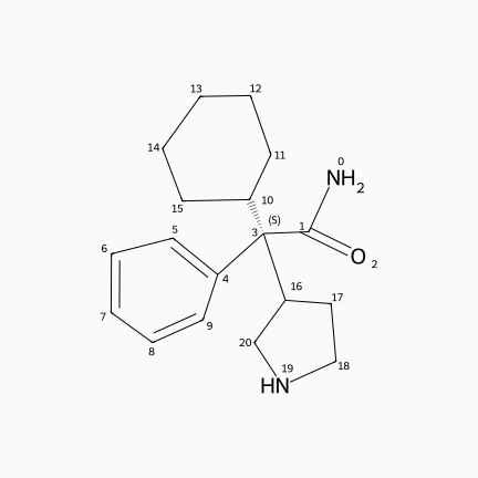 NC(=O)[C@@](c1ccccc1)(C1CCCCC1)C1CCNC1